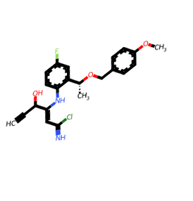 C#CC(O)/C(=C/C(=N)Cl)Nc1ccc(F)cc1[C@@H](C)OCc1ccc(OC)cc1